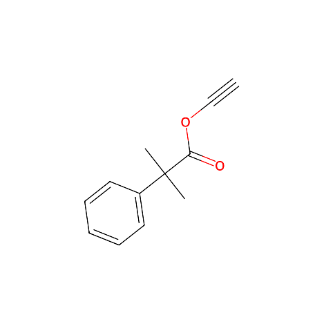 C#COC(=O)C(C)(C)c1ccccc1